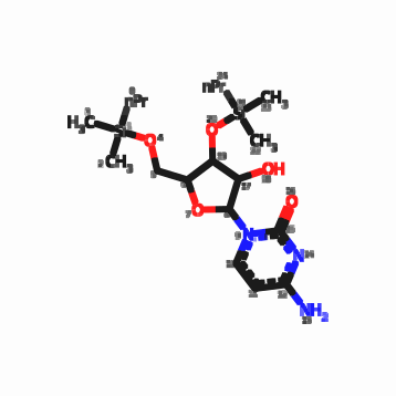 CCC[Si](C)(C)OCC1OC(n2ccc(N)nc2=O)C(O)C1O[Si](C)(C)CCC